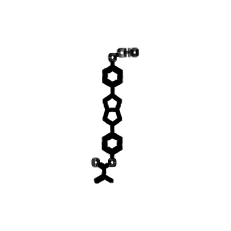 C=C(C)C(=O)Oc1ccc(C2CC3CC(c4ccc(OC=O)cc4)CC3C2)cc1